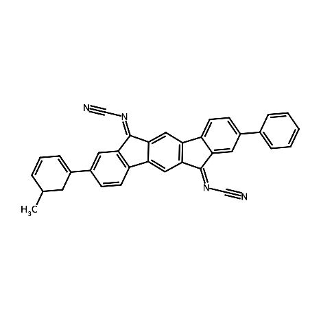 CC1C=CC=C(c2ccc3c(c2)/c(=N\C#N)c2cc4c(cc23)/c(=N/C#N)c2cc(-c3ccccc3)ccc24)C1